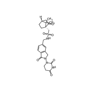 CC1(C)[C@@H]2CC[C@]1(CS(=O)(=O)NCc1ccc3c(c1)CN(N1CCC(=O)NC1=O)C3=O)C(=O)C2